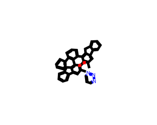 Cc1cc2c(c(-c3cccc(-c4ccccc4)c3-c3c(C)c(C)cc4c3Cc3ccccc3-4)c1C)Cc1ccccc1-2.c1cnnnc1